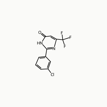 O=c1cc(C(F)(F)F)nc(-c2cccc(Cl)c2)[nH]1